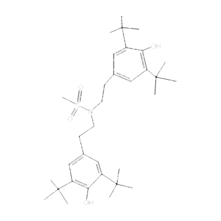 CC(C)(C)c1cc(CCN(CCc2cc(C(C)(C)C)c(O)c(C(C)(C)C)c2)S(C)(=O)=O)cc(C(C)(C)C)c1O